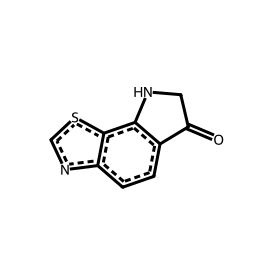 O=C1CNc2c1ccc1ncsc21